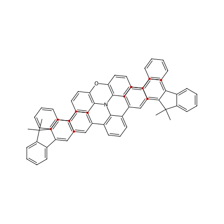 CC1(C)c2ccccc2-c2ccc(-c3ccc4c(c3)N(c3c(-c5ccc(-c6ccccc6)cc5)cccc3-c3ccc(-c5ccccc5)cc3)c3cc(-c5ccc6c(c5)C(C)(C)c5ccccc5-6)ccc3O4)cc21